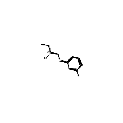 CC[C@@H](O)COc1cccc(Cl)c1